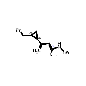 C=C(/C=C(\C)NCCC)[C@@H]1C[C@@H]1CC(C)C